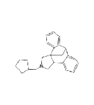 c1ccc2c(c1)C1CC3(CN(CC4CCCC4)CC23)c2ccccc21